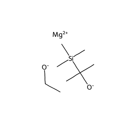 CC(C)([O-])[Si](C)(C)C.CC[O-].[Mg+2]